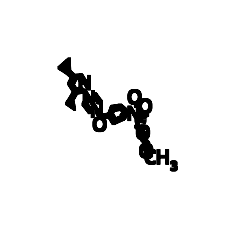 COCCOC[C@@H]1COC(=O)N1c1ccc(C(=O)N2CCN(c3ncc(C4CC4)cc3C3CC3)CC2)cc1